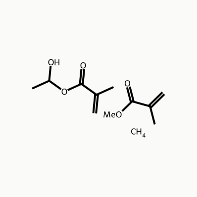 C.C=C(C)C(=O)OC.C=C(C)C(=O)OC(C)O